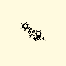 CC1(C)C2CC[C@]1(CS(=O)(=O)OCc1ccccc1)C(=O)C2